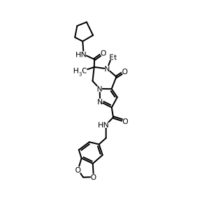 CCN1C(=O)c2cc(C(=O)NCc3ccc4c(c3)OCO4)nn2CC1(C)C(=O)NC1CCCC1